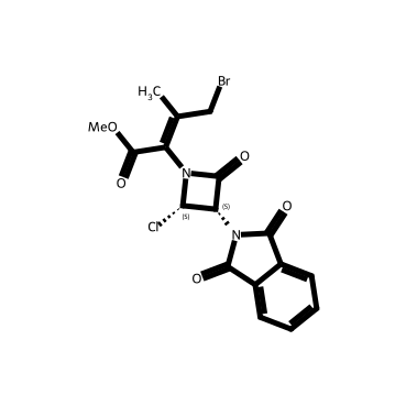 COC(=O)C(=C(C)CBr)N1C(=O)[C@H](N2C(=O)c3ccccc3C2=O)[C@@H]1Cl